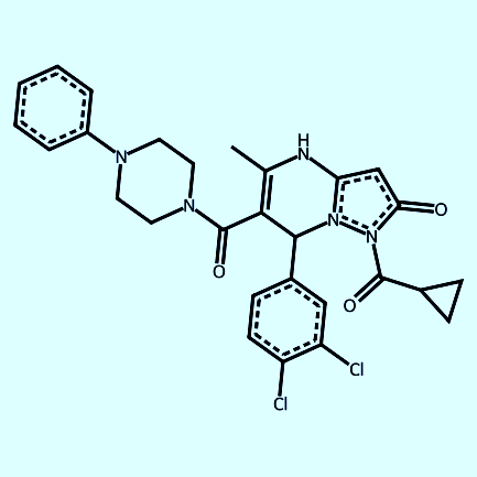 CC1=C(C(=O)N2CCN(c3ccccc3)CC2)C(c2ccc(Cl)c(Cl)c2)n2c(cc(=O)n2C(=O)C2CC2)N1